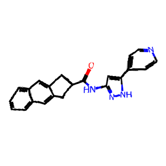 O=C(Nc1cc(-c2ccncc2)[nH]n1)C1Cc2cc3ccccc3cc2C1